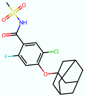 CS(=O)(=O)NC(=O)c1cc(Cl)c(OC23CC4CC(CC(C4)C2)C3)cc1F